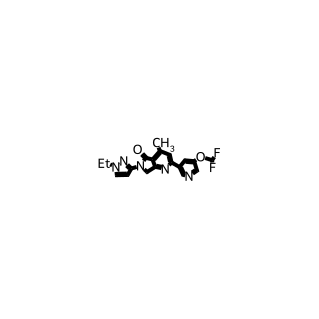 CCn1ccc(N2Cc3nc(-c4cncc(OC(F)F)c4)cc(C)c3C2=O)n1